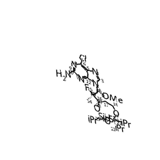 CO[C@@H](n1cnc2c(Cl)nc(N)nc21)[C@](C)(F)[C@H]1CCO[Si](C(C)C)(C(C)C)O[SiH](C(C)C)O1